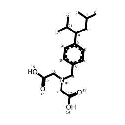 CC(C)CC(c1ccc(CN(CC(=O)O)CC(=O)O)cc1)C(C)C